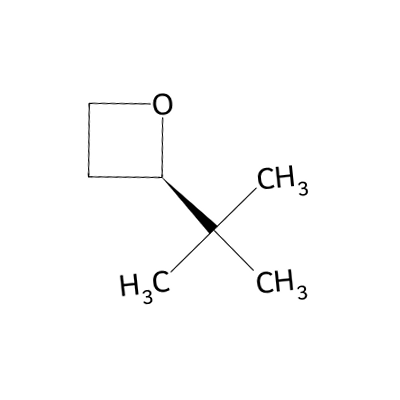 CC(C)(C)[C@H]1CCO1